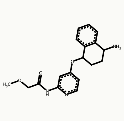 COCC(=O)Nc1cc(OC2CCC(N)c3ccccc32)ccn1